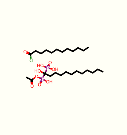 CCCCCCCCCCCC(=O)Cl.CCCCCCCCCCCC(O)(P(=O)(O)O)P(=O)(O)OC(C)=O